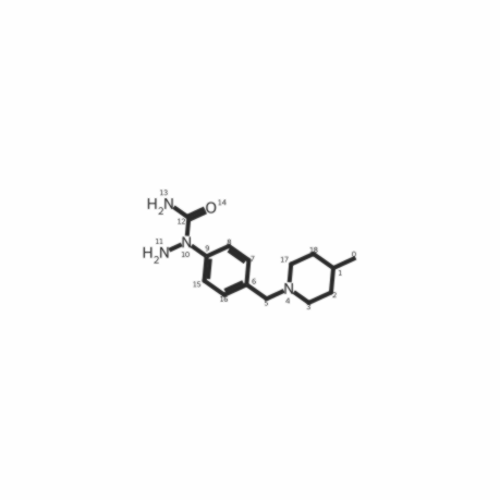 CC1CCN(Cc2ccc(N(N)C(N)=O)cc2)CC1